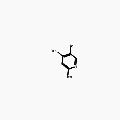 CC(C)(C)c1cc(C=O)c(Br)cn1